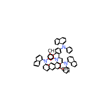 C/C=C\C(=C/C(c1cc(N(c2ccccc2)c2cccc3ccccc23)ccc1-c1ccc(N(c2ccccc2)c2cccc3ccccc23)cc1C)N(c1ccccc1)c1cccc2ccccc12)N(c1ccccc1)c1cccc2ccccc12